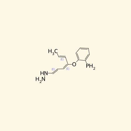 C/C=C/C(=C\C=C\NN)Oc1ccccc1P